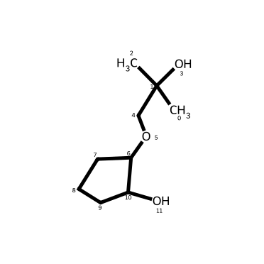 CC(C)(O)COC1CCCC1O